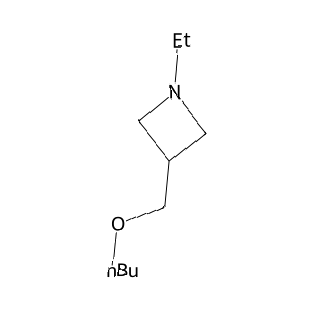 CCCCOCC1CN(CC)C1